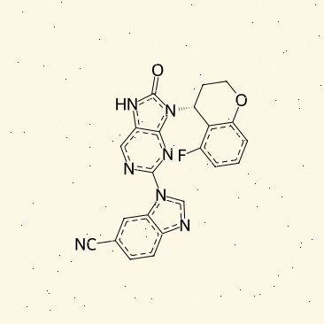 N#Cc1ccc2ncn(-c3ncc4[nH]c(=O)n([C@@H]5CCOc6cccc(F)c65)c4n3)c2c1